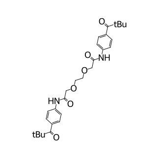 CC(C)(C)C(=O)c1ccc(NC(=O)COCCOCC(=O)Nc2ccc(C(=O)C(C)(C)C)cc2)cc1